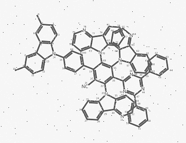 Cc1ccc2c(c1)c1cc(C)ccc1n2-c1ccc(-c2c(C#N)c(-n3c4ccccc4c4ncccc43)c(-c3nc(-c4ccccc4)nc(-c4ccccc4)n3)c(-n3c4ccccc4c4ncccc43)c2-n2c3ccccc3c3ncccc32)cc1